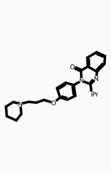 CC(C)c1nc2ccccc2c(=O)n1-c1ccc(OCCCN2CCCCC2)cc1